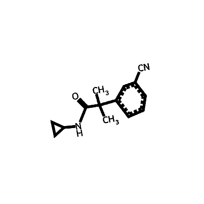 CC(C)(C(=O)NC1CC1)c1cccc(C#N)c1